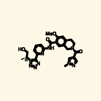 COc1cc2c(cc1C(=O)Nc1cccc(-c3nnnn3[C@H](C)CO)n1)CN(C(=O)c1cnn(C)c1)CC2